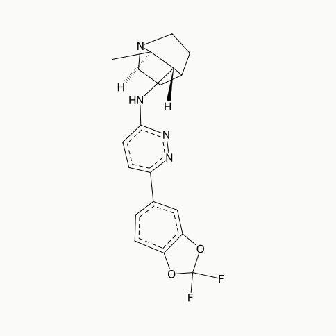 C[C@@H]1[C@@H](Nc2ccc(-c3ccc4c(c3)OC(F)(F)O4)nn2)C2CCN1CC2